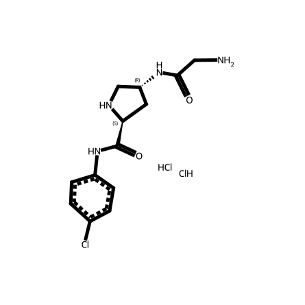 Cl.Cl.NCC(=O)N[C@H]1CN[C@H](C(=O)Nc2ccc(Cl)cc2)C1